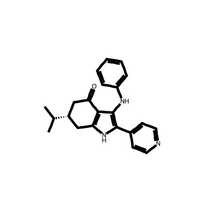 CC(C)[C@@H]1CC(=O)c2c([nH]c(-c3ccncc3)c2Nc2ccccc2)C1